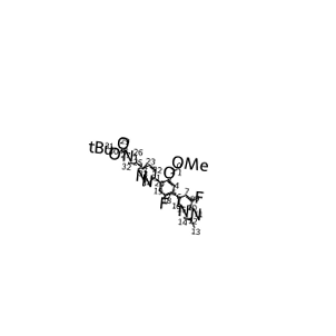 COCOc1cc(-c2cc(F)c3nc(C)cn3c2)c(F)cc1-c1ccc(C2CN(C(=O)OC(C)(C)C)C2)nn1